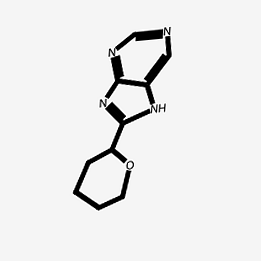 c1ncc2[nH]c(C3CCCCO3)nc2n1